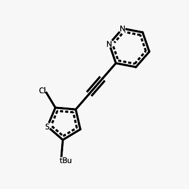 CC(C)(C)c1cc(C#Cc2cccnn2)c(Cl)s1